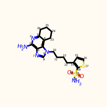 Nc1nc2c(c3c1ncn3CCCCc1ccsc1S(N)(=O)=O)CCCC2